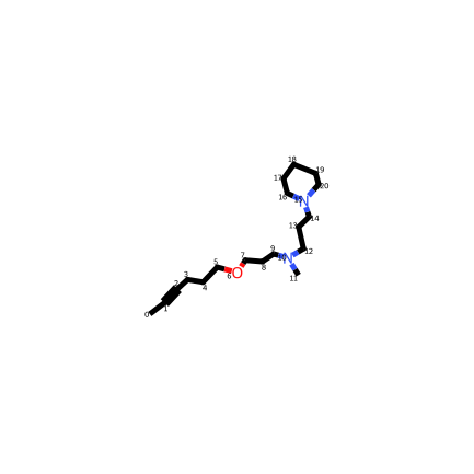 CC#CCCCOCCCN(C)CCCN1CCCCC1